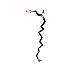 CC(C)CCCCCCCCCCN(C)CCO